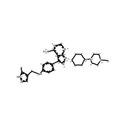 Cc1[nH]ncc1CNc1ccc(-c2nn([C@H]3CC[C@H](N4CCN(C)CC4)CC3)c3ncnc(N)c23)cc1